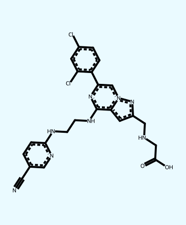 N#Cc1ccc(NCCNc2nc(-c3ccc(Cl)cc3Cl)cn3nc(CNCC(=O)O)cc23)nc1